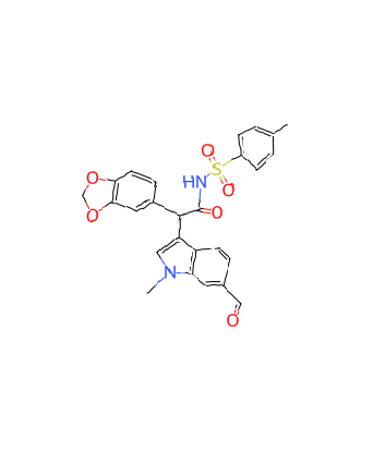 Cc1ccc(S(=O)(=O)NC(=O)C(c2ccc3c(c2)OCO3)c2cn(C)c3cc(C=O)ccc23)cc1